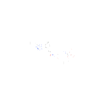 CCOc1c(NCCC2CN(C(=O)/C=C/c3ccc(Cl)cc3Cn3nnc(C)n3)CCO2)c(=O)c1=O